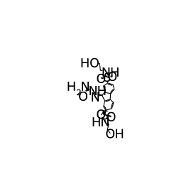 NC(=O)NN=C1c2cc(S(=O)(=O)NCCO)ccc2-c2ccc(S(=O)(=O)NCCO)cc21